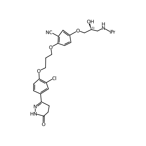 CC(C)NC[C@H](O)COc1ccc(OCCCOc2ccc(C3=NNC(=O)CC3)cc2Cl)c(C#N)c1